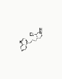 CCC1CNCCC1CCCc1ccnc2ccccc12